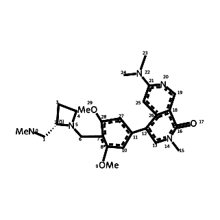 CNC[C@@H]1CCN1Cc1c(OC)cc(-c2cn(C)c(=O)c3cnc(N(C)C)cc23)cc1OC